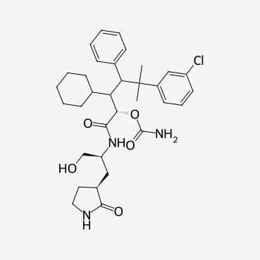 CC(C)(c1cccc(Cl)c1)C(c1ccccc1)C(C1CCCCC1)[C@H](OC(N)=O)C(=O)N[C@H](CO)C[C@@H]1CCNC1=O